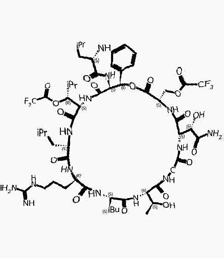 CC[C@H](C)[C@@H]1NC(=O)[C@@H](CCCNC(=N)N)NC(=O)[C@H](CC(C)C)NC(=O)[C@H]([C@H](OC(=O)C(F)(F)F)C(C)C)NC(=O)[C@@H](NC(=O)[C@@H](N)CC(C)C)[C@@H](c2ccccc2)OC(=O)[C@H](COC(=O)C(F)(F)F)NC(=O)[C@H]([C@H](O)C(N)=O)NC(=O)CNC(=O)[C@H]([C@H](C)O)NC1=O